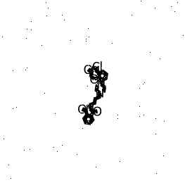 O=C1c2ccccc2C(=O)N1CCCCN1CCN(c2cccc3c2OCC(=O)N3Cl)CC1